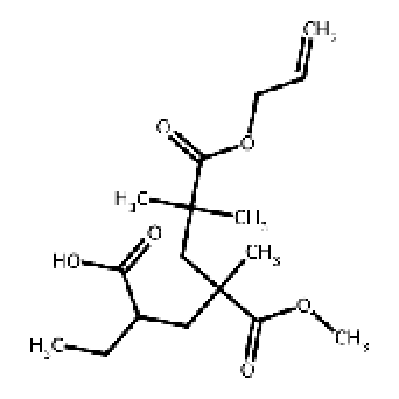 C=CCOC(=O)C(C)(C)CC(C)(CC(CC)C(=O)O)C(=O)OC